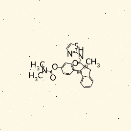 CN(C)C(=O)Oc1ccc([C@@H]2c3ccccc3C[C@]2(C)C(=O)Nc2nccs2)cc1